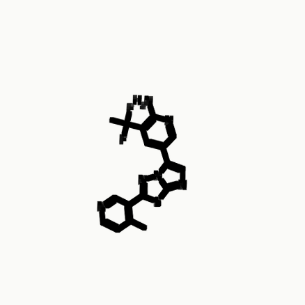 Cc1ccncc1-c1nn2c(-c3cnc(N)c(C(C)(F)F)c3)cnc2s1